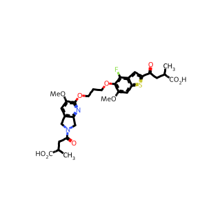 COc1cc2c(nc1OCCCOc1c(OC)cc3sc(C(=O)CC(C)C(=O)O)cc3c1F)CN(C(=O)CC(C)C(=O)O)C2